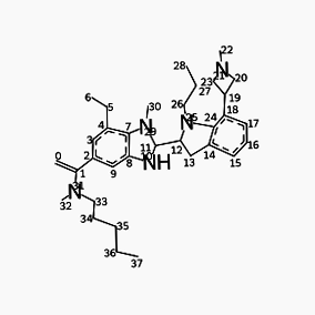 C=C(c1cc(CC)c2c(c1)NC(C1Cc3cccc(C4CN(C)C4)c3N1CCC)N2C)N(C)CCCCC